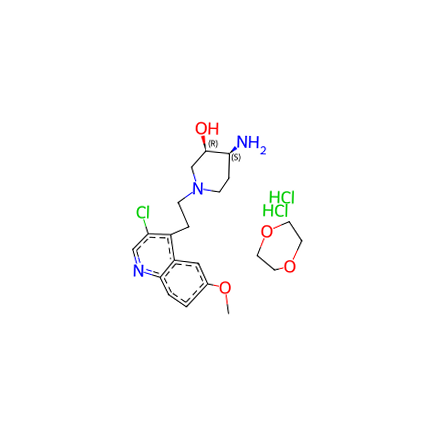 C1COCCO1.COc1ccc2ncc(Cl)c(CCN3CC[C@H](N)[C@H](O)C3)c2c1.Cl.Cl